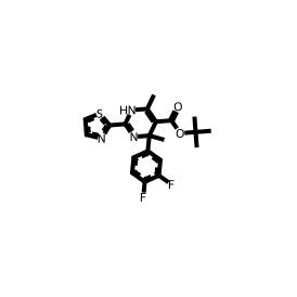 CC1=C(C(=O)OC(C)(C)C)C(C)(c2ccc(F)c(F)c2)N=C(c2nccs2)N1